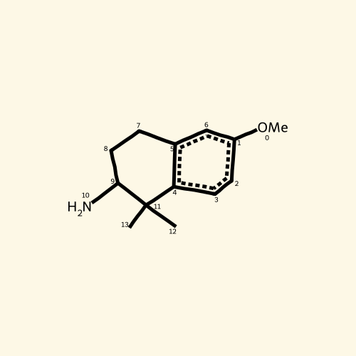 COc1ccc2c(c1)CCC(N)C2(C)C